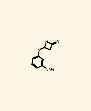 COc1cccc(SC2CC(=O)N2)c1